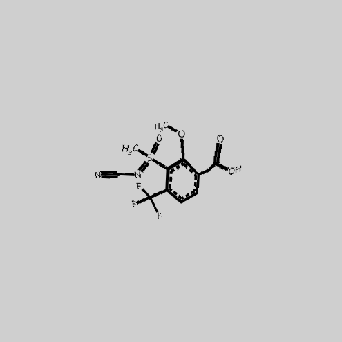 COc1c(C(=O)O)ccc(C(F)(F)F)c1S(C)(=O)=NC#N